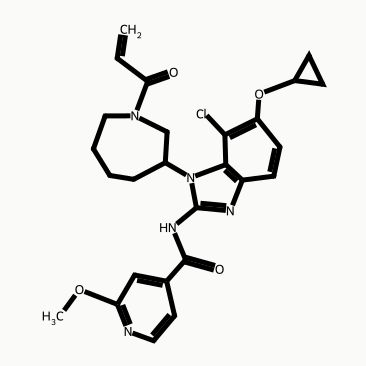 C=CC(=O)N1CCCCC(n2c(NC(=O)c3ccnc(OC)c3)nc3ccc(OC4CC4)c(Cl)c32)C1